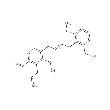 C=CCc1c(C=O)ccc(C/C=C/Cc2c(CO)cccc2OC)c1OC